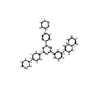 c1ccc(-c2ccc(-c3cc(-c4ccc(-c5cccnc5)cc4)nc(-c4cccc(-c5ccc6ccccc6c5)c4)n3)cc2)cc1